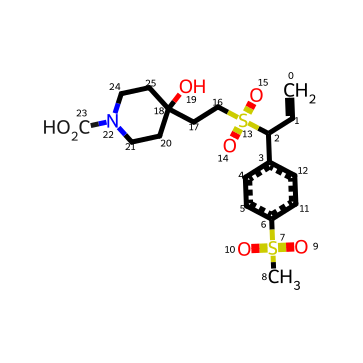 C=CC(c1ccc(S(C)(=O)=O)cc1)S(=O)(=O)CCC1(O)CCN(C(=O)O)CC1